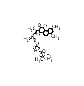 Cc1cc(C)c2ccc3c(c2c1)C(=O)C(=O)c1c-3oc(CN(C)CCOC(=O)CNC(=O)OC(C)(C)C)c1C